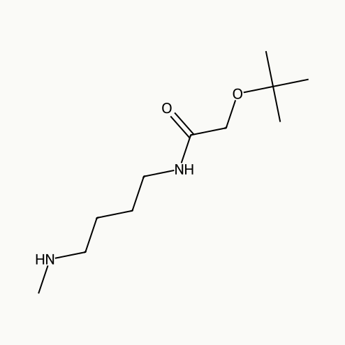 CNCCCCNC(=O)COC(C)(C)C